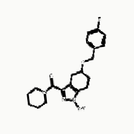 CCCn1nc(C(=O)N2CCCCC2)c2c1CCC(OCc1ccc(F)cc1)C2